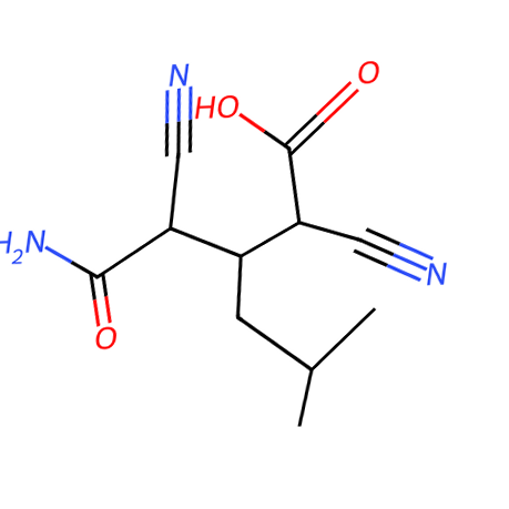 CC(C)CC(C(C#N)C(N)=O)C(C#N)C(=O)O